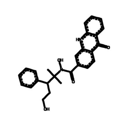 CC(C)(C(CCO)c1ccccc1)N(O)C(=O)c1ccc2c(=O)c3ccccc3[nH]c2c1